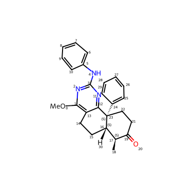 COc1nc(Nc2ccccc2)nc2c1CC[C@H]1[C@H](C)C(=O)CC[C@]21c1ccccc1